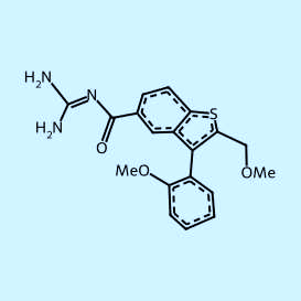 COCc1sc2ccc(C(=O)N=C(N)N)cc2c1-c1ccccc1OC